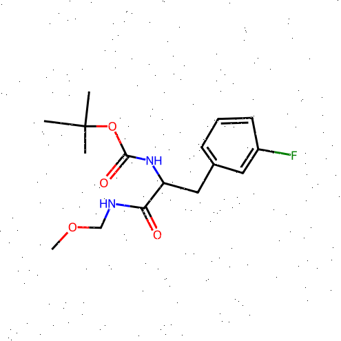 COCNC(=O)C(Cc1cccc(F)c1)NC(=O)OC(C)(C)C